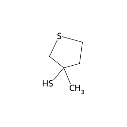 CC1(S)CCSC1